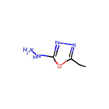 Cc1nnc(NN)o1